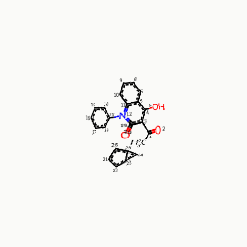 CC(=O)c1c(O)c2ccccc2n(-c2ccccc2)c1=O.c1cc2cc-2c1